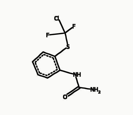 NC(=O)Nc1ccccc1SC(F)(F)Cl